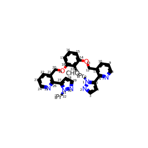 CC(C)n1nccc1-c1ncccc1COc1cccc(OCc2cccnc2-c2ccnn2C(C)C)c1C=O